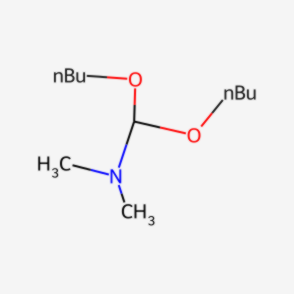 CCCCOC(OCCCC)N(C)C